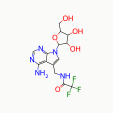 Nc1ncnc2c1c(CNC(=O)C(F)(F)F)cn2C1OC(CO)C(O)C1O